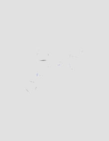 COC[C@H](C)Nc1nccc(N(C(=O)Nc2cc(F)cc(F)c2F)c2ccc(F)cc2)n1